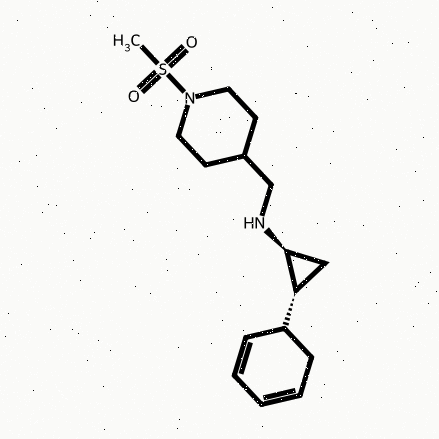 CS(=O)(=O)N1CCC(CN[C@H]2C[C@@H]2C2C=CC=CC2)CC1